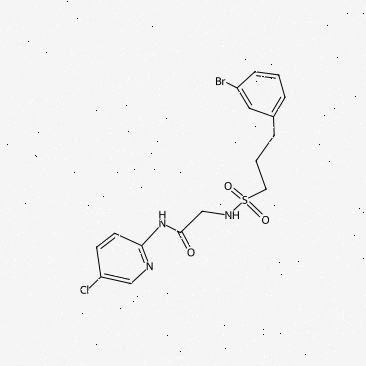 O=C(CNS(=O)(=O)CCCc1cccc(Br)c1)Nc1ccc(Cl)cn1